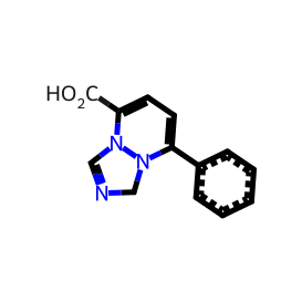 O=C(O)C1=CC=C(c2ccccc2)N2CN=CN12